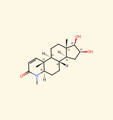 CN1C(=O)C=C[C@]2(C)[C@H]3CC[C@]4(C)[C@@H](O)[C@@H](O)C[C@H]4[C@@H]3CC[C@@H]12